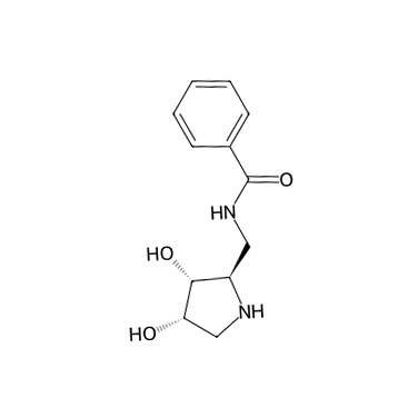 O=C(NC[C@H]1NC[C@H](O)[C@@H]1O)c1ccccc1